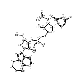 O=c1ccn([C@@H]2OC(COP(=O)(S)O[C@H]3[C@@H](O)[C@H](n4cc5c6c(ncnc64)NCCC5)O[C@@H]3CO)[C@@H](O)[C@H]2O[PH](=O)S)c(=O)[nH]1